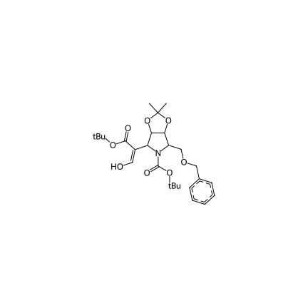 CC(C)(C)OC(=O)/C(=C\O)C1C2OC(C)(C)OC2C(COCc2ccccc2)N1C(=O)OC(C)(C)C